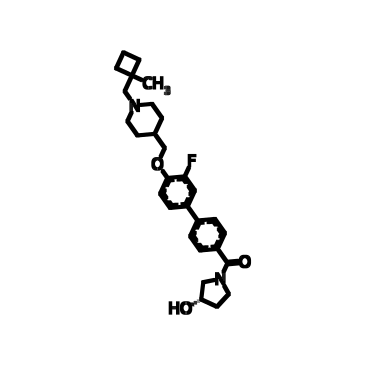 CC1(CN2CCC(COc3ccc(-c4ccc(C(=O)N5CC[C@H](O)C5)cc4)cc3F)CC2)CCC1